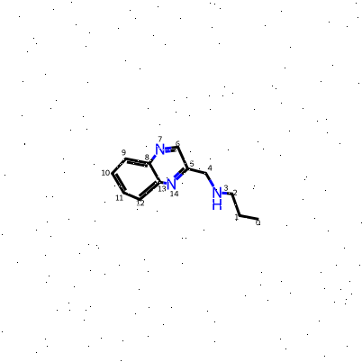 CCCNCc1cnc2ccccc2n1